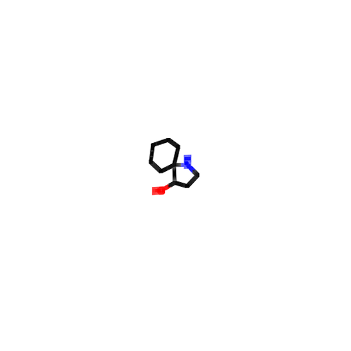 OC1CCNC12CCCCC2